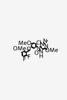 COc1cc(Cl)c(-n2c(=O)[nH]c3c(OC)nc(N(C)C)nc32)cc1OCc1c(OC)ccc(F)c1F